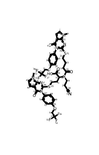 Cn1ccc2c(=O)n(-c3ccc(OCC(F)(F)F)cc3)c(SCCCC(=O)N(CCC#N)C(CCSc3nc4c(ccn4C)c(=O)n3-c3ccc(OCC(F)(F)F)cc3)C(=O)O)nc21